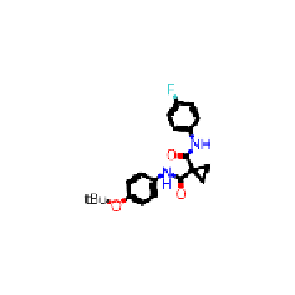 CC(C)(C)Oc1ccc(NC(=O)C2(C(=O)Nc3ccc(F)cc3)CC2)cc1